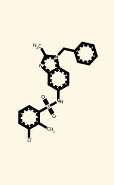 Cc1c(Cl)cccc1S(=O)(=O)Nc1ccc2c(c1)nc(C)n2Cc1ccccc1